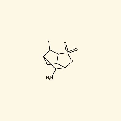 CC1C2CC3C(OS(=O)(=O)C13)C2N